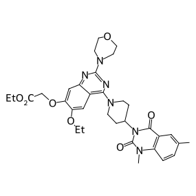 CCOC(=O)COc1cc2nc(N3CCOCC3)nc(N3CCC(n4c(=O)c5cc(C)ccc5n(C)c4=O)CC3)c2cc1OCC